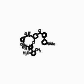 COc1cccc(-c2cccc(C(=O)N3CCC4(CC3)CNC(=O)c3cccc(c3)S(=O)(=O)Nc3nc(cc(-c5c(C)cccc5C)n3)OC4)c2)c1